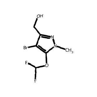 Cn1nc(CO)c(Br)c1OC(F)F